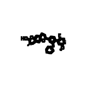 COc1cc(-c2ccc(C3CCc4ccc(C[C@H](C)C(=O)O)cc4O3)cc2CN2CCCCC2)c(F)cn1